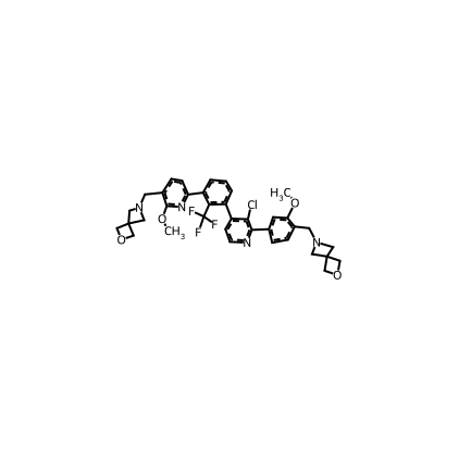 COc1cc(-c2nccc(-c3cccc(-c4ccc(CN5CC6(COC6)C5)c(OC)n4)c3C(F)(F)F)c2Cl)ccc1CN1CC2(COC2)C1